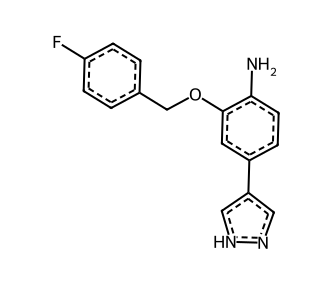 Nc1ccc(-c2cn[nH]c2)cc1OCc1ccc(F)cc1